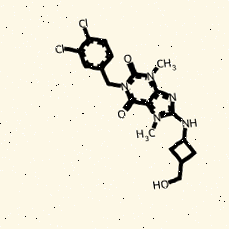 Cn1c(NC2CC(CO)C2)nc2c1c(=O)n(Cc1ccc(Cl)c(Cl)c1)c(=O)n2C